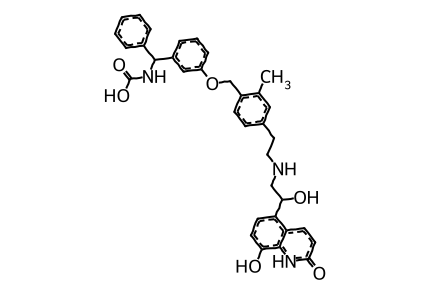 Cc1cc(CCNCC(O)c2ccc(O)c3[nH]c(=O)ccc23)ccc1COc1cccc(C(NC(=O)O)c2ccccc2)c1